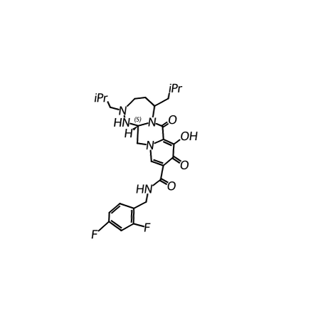 CC(C)CC1CCN(CC(C)C)N[C@H]2Cn3cc(C(=O)NCc4ccc(F)cc4F)c(=O)c(O)c3C(=O)N12